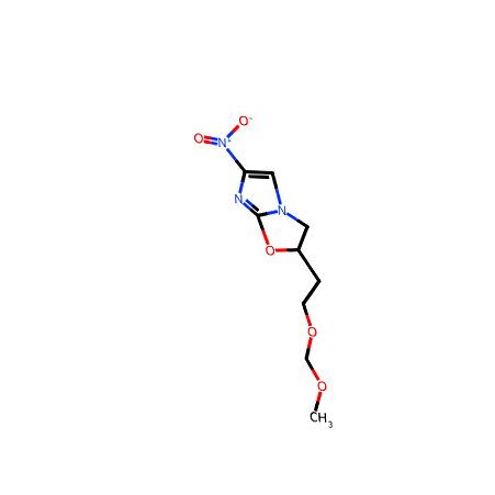 COCOCCC1Cn2cc([N+](=O)[O-])nc2O1